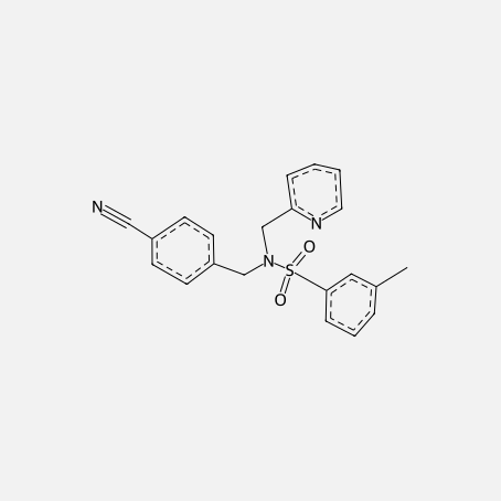 Cc1cccc(S(=O)(=O)N(Cc2ccc(C#N)cc2)Cc2ccccn2)c1